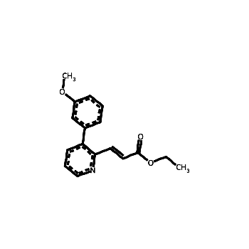 CCOC(=O)C=Cc1ncccc1-c1cccc(OC)c1